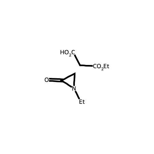 CCN1CC1=O.CCOC(=O)CC(=O)O